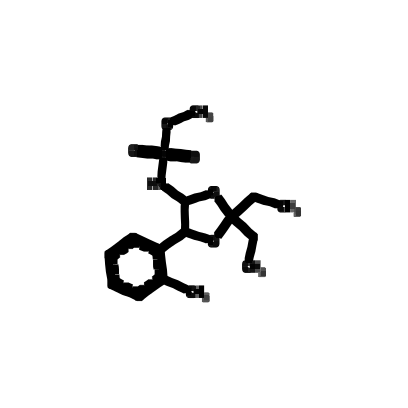 CCC1(CC)OC(NS(=O)(=O)OC)C(c2ccccc2C)O1